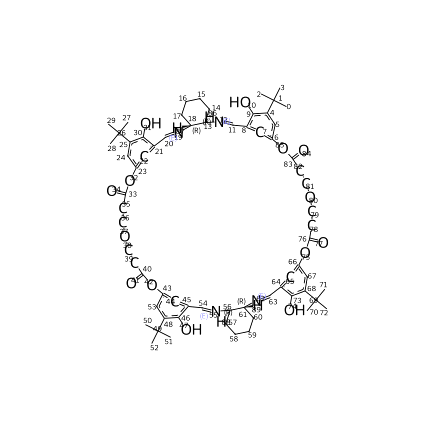 CC(C)(C)c1cc2cc(c1O)/C=N/[C@@H]1CCCC[C@H]1/N=C/c1cc(cc(C(C)(C)C)c1O)OC(=O)CCOCCC(=O)Oc1cc(c(O)c(C(C)(C)C)c1)/C=N/[C@@H]1CCCC[C@H]1/N=C/c1cc(cc(C(C)(C)C)c1O)OC(=O)CCOCCC(=O)O2